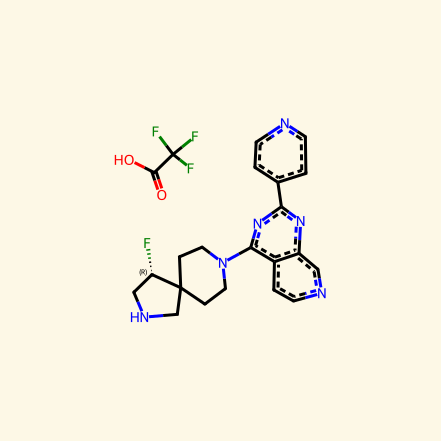 F[C@H]1CNCC12CCN(c1nc(-c3ccncc3)nc3cnccc13)CC2.O=C(O)C(F)(F)F